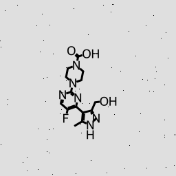 Cc1[nH]nc(CO)c1-c1nc(N2CCN(C(=O)O)CC2)ncc1F